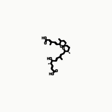 CC(/C=C/C(O)[C@@H](C)/C=C/C(=O)O)=C\CC1O[C@@]2(CCC(C)C(/C=C/C(C)=C/C(=O)O)O2)CC[C@@H]1C